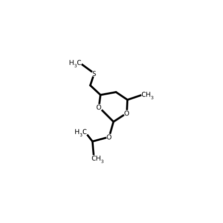 CSCC1CC(C)OC(OC(C)C)O1